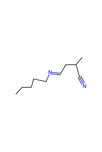 CCCCCN=CCC(C)C#N